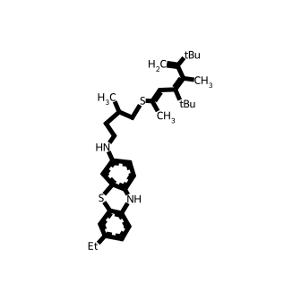 C=C(/C(C)=C(\C=C(/C)SCC(C)CCNc1ccc2c(c1)Sc1cc(CC)ccc1N2)C(C)(C)C)C(C)(C)C